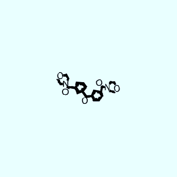 O=C(c1cccc(C(=O)N2CCOCC2)c1)c1cccc(C(=O)N2CCOCC2)c1